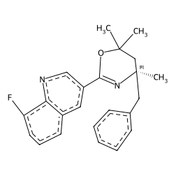 CC1(C)C[C@@](C)(Cc2ccccc2)N=C(c2cnc3c(F)cccc3c2)O1